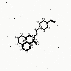 C=CC1CCN(CCn2cc3c4c(cccc4c2=O)CCC3)CC1